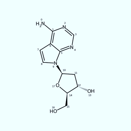 Nc1ncnc2c1ccn2[C@H]1C[C@H](O)[C@@H](CO)O1